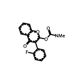 CNC(=O)Oc1oc2ccccc2c(=O)c1-c1ccccc1F